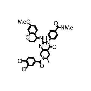 CNC(=O)c1ccc(-n2c(NC3CCOc4cc(OC)ccc43)nc3c(c2=O)C[C@@H](C)N(C(=O)c2ccc(Cl)c(Cl)c2)C3)cc1